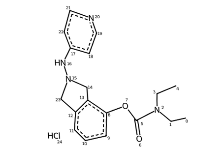 CCN(CC)C(=O)Oc1cccc2c1CN(Nc1ccncc1)C2.Cl